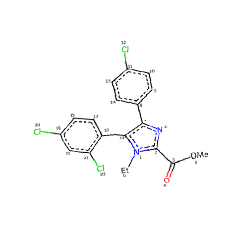 CCn1c(C(=O)OC)nc(-c2ccc(Cl)cc2)c1-c1ccc(Cl)cc1Cl